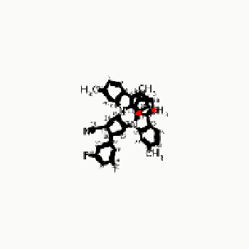 Cc1ccc2c3ccc(C)cc3n(-c3cc(C#N)c(-c4cc(F)cc(F)c4)cc3-n3c4cc(C)ccc4c4ccc(C)cc43)c2c1